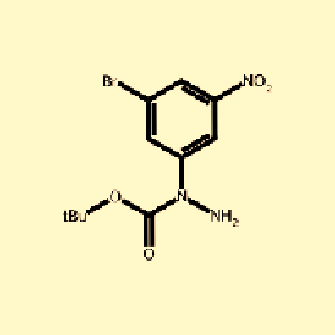 CC(C)(C)OC(=O)N(N)c1cc(Br)cc([N+](=O)[O-])c1